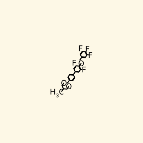 CC1COC(c2ccc(-c3cc(F)c(OCc4cc(F)c(F)c(F)c4)c(F)c3)cc2)OC1